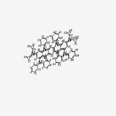 c1ccc(N2c3ccccc3B3c4cc5c(cc4N(c4ccccc4)c4cc(N(C6CC6)C6CC6)cc2c43)N(c2ccccc2)c2cc(N(C3CC3)C3CC3)cc3c2B5c2ccccc2N3c2ccccc2)cc1